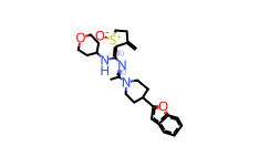 C=C1CC[S+]([O-])/C1=C(/N=C(\C)N1CCC(c2cc3ccccc3o2)CC1)NC1CCOCC1